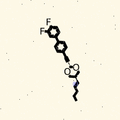 CCC/C=C/[C@H]1CO[C@H](C#Cc2ccc(-c3ccc(F)c(F)c3)cc2)OC1